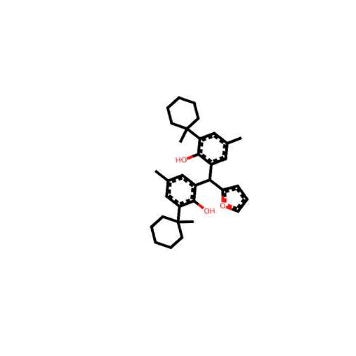 Cc1cc(C(c2ccco2)c2cc(C)cc(C3(C)CCCCC3)c2O)c(O)c(C2(C)CCCCC2)c1